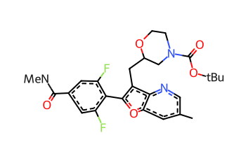 CNC(=O)c1cc(F)c(-c2oc3cc(C)cnc3c2CC2CN(C(=O)OC(C)(C)C)CCO2)c(F)c1